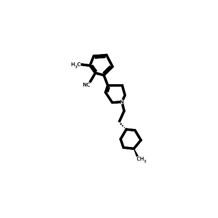 Cc1cccc(C2=CCN(CC[C@H]3CC[C@H](C)CC3)CC2)c1C#N